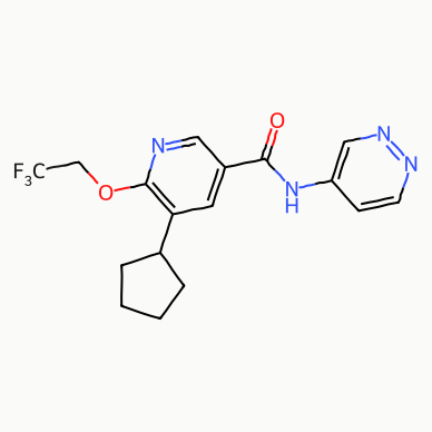 O=C(Nc1ccnnc1)c1cnc(OCC(F)(F)F)c(C2CCCC2)c1